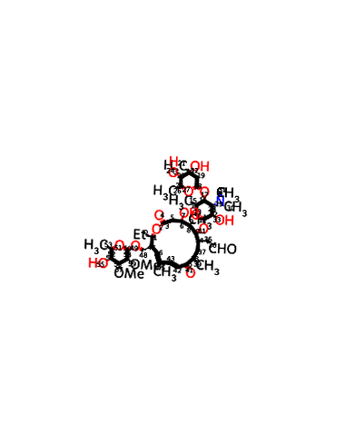 CC[C@H]1OC(=O)C[C@@H](O)[C@H](C)[C@@H](O[C@@H]2O[C@H](C)[C@@H](OC3C[C@@](C)(O)[C@@H](O)[C@H](C)O3)[C@H](N(C)C)[C@H]2O)[C@@H](CC=O)C[C@@H](C)C(=O)/C=C/C(C)=C/[C@@H]1CO[C@@H]1O[C@H](C)[C@@H](O)[C@@H](OC)[C@H]1OC